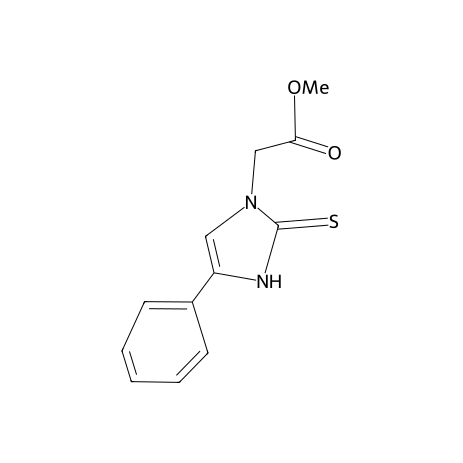 COC(=O)Cn1cc(-c2ccccc2)[nH]c1=S